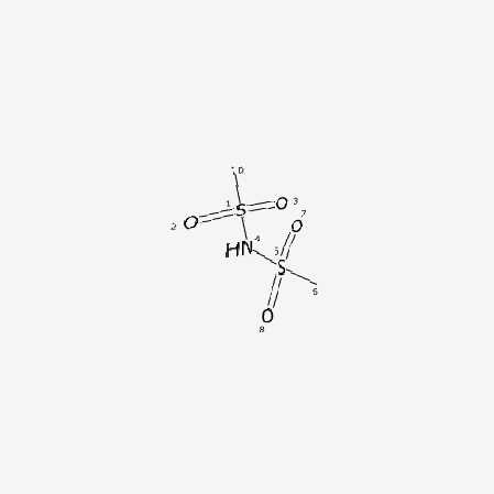 [CH2]S(=O)(=O)NS(C)(=O)=O